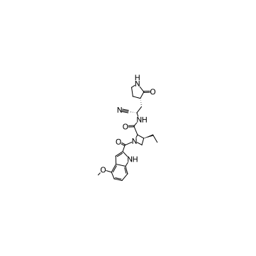 CC[C@H]1CN(C(=O)c2cc3c(OC)cccc3[nH]2)C1C(=O)N[C@H](C#N)C[C@@H]1CCNC1=O